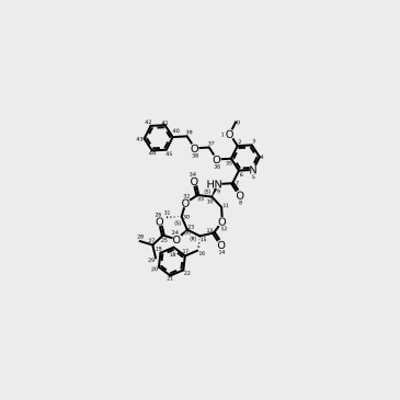 COc1ccnc(C(=O)N[C@H]2COC(=O)[C@H](Cc3ccccc3)[C@@H](OC(=O)C(C)C)[C@H](C)OC2=O)c1OCOCc1ccccc1